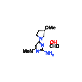 CNc1cc(N2CCC(OC)C2)nc(N)n1.O=CO